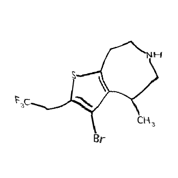 CC1CNCCc2sc(CC(F)(F)F)c(Br)c21